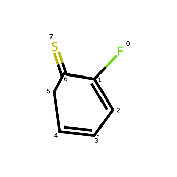 FC1=C[C]=CCC1=S